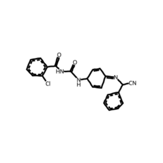 N#CC(N=C1C=CC(NC(=O)NC(=O)c2ccccc2Cl)C=C1)c1ccccc1